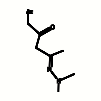 CC(=O)CC(=O)C/C(C)=N/N(C)C